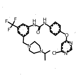 CC(C)N1CCN(Cc2cc(NC(=O)Nc3ccc(Oc4cc(Cl)ncn4)cc3)cc(C(F)(F)F)c2)CC1